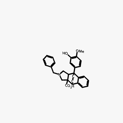 COc1ccc(C23CCC(c4ccccc42)C2(C(=O)O)CN(Cc4ccccc4)CC32)cc1O